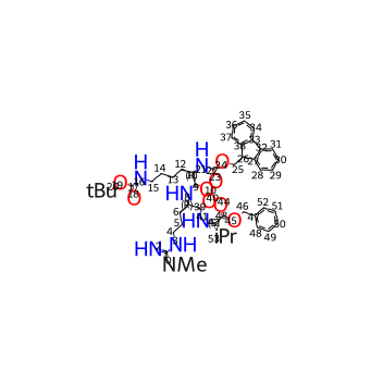 CNC(=N)NCCC[C@@H](NC(=O)[C@@H](CCCCNC(=O)OC(C)(C)C)NC(=O)OCC1c2ccccc2-c2ccccc21)C(=O)N[C@H](C(=O)OCc1ccccc1)C(C)C